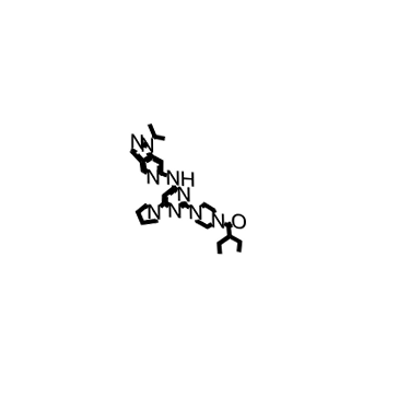 CCC(CC)C(=O)N1CCN(c2nc(Nc3cc4c(cn3)cnn4C(C)C)cc(N3CCCC3)n2)CC1